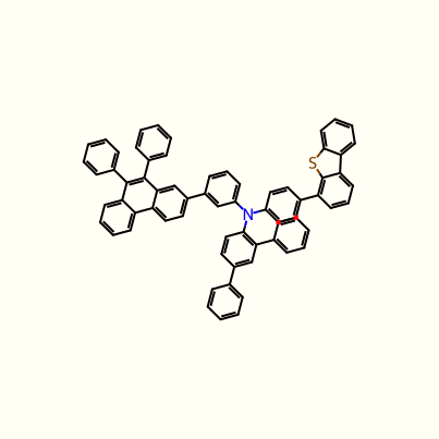 c1ccc(-c2ccc(N(c3ccc(-c4cccc5c4sc4ccccc45)cc3)c3cccc(-c4ccc5c(c4)c(-c4ccccc4)c(-c4ccccc4)c4ccccc45)c3)c(-c3ccccc3)c2)cc1